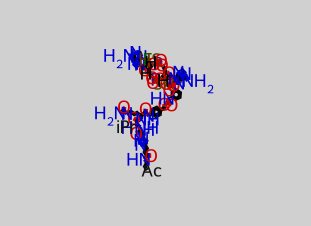 CC(=O)CCNC(=O)CCc1cn(CC(=O)N[C@H](C(=O)N[C@@H](CCCNC(N)=O)C(=O)Nc2ccc(COC(=O)N[C@@H]3CCCC[C@H]3OC(=O)O[C@@H]3[C@@H]4O[P@](=O)(S)OC[C@H]5O[C@@H](n6cnc7c(N)ncnc76)[C@H](F)[C@@H]5O[P@](=O)(S)OCC4O[C@H]3n3cnc4c(N)ncnc43)cc2)C(C)C)nn1